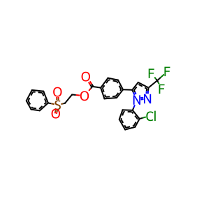 O=C(OCCS(=O)(=O)c1ccccc1)c1ccc(-c2cc(C(F)(F)F)nn2-c2ccccc2Cl)cc1